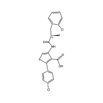 O=C(O)c1c(NC(=O)[C@H](F)Cc2ccccc2Cl)csc1-c1ccc(Cl)cc1